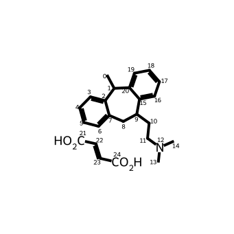 CC1c2ccccc2CC(CCN(C)C)c2ccccc21.O=C(O)C=CC(=O)O